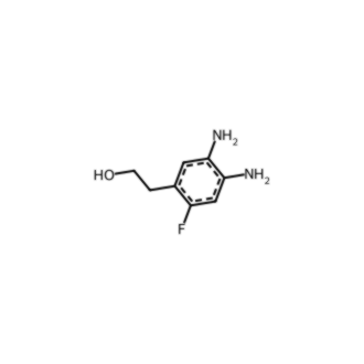 Nc1cc(F)c(CCO)cc1N